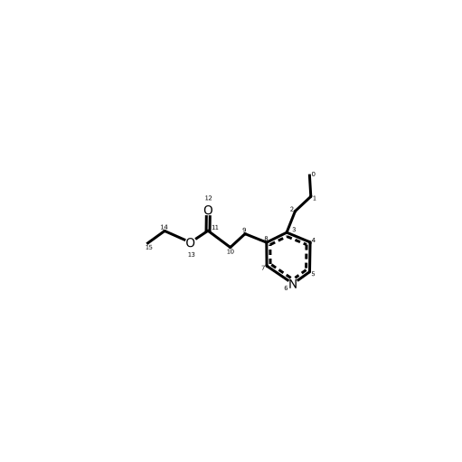 CCCc1ccncc1CCC(=O)OCC